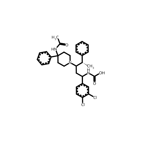 CC(=O)NC1(c2ccccc2)CCN(C(CC(NC(=O)O)c2ccc(Cl)c(Cl)c2)[C@@H](C)c2ccccc2)CC1